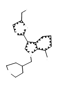 ClCc1csc(-c2cn(CC3CCOCC3)c3c(Cl)cccc23)n1